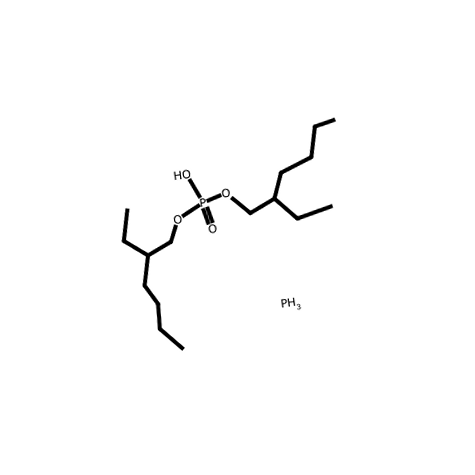 CCCCC(CC)COP(=O)(O)OCC(CC)CCCC.P